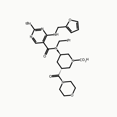 CC(C)CN(C(=O)c1cnc(C(C)(C)C)nc1NCc1ccco1)[C@@H]1C[C@@H](C(=O)N2CCOCC2)CN(C(=O)O)C1